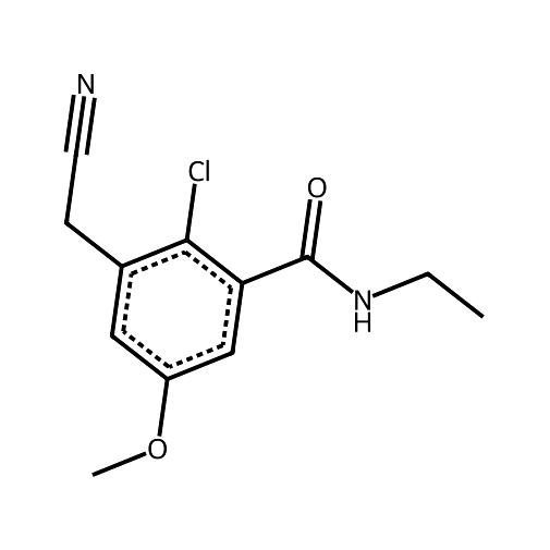 CCNC(=O)c1cc(OC)cc(CC#N)c1Cl